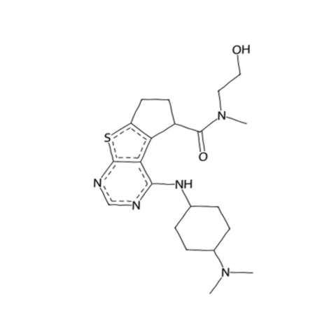 CN(CCO)C(=O)C1CCc2sc3ncnc(NC4CCC(N(C)C)CC4)c3c21